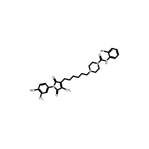 CC1=C(CCCCCCN2CCN(C(=O)Nc3ccccc3C(C)C)CC2)C(=O)N(c2ccc(C#N)c(C(F)(F)F)c2)C1=O